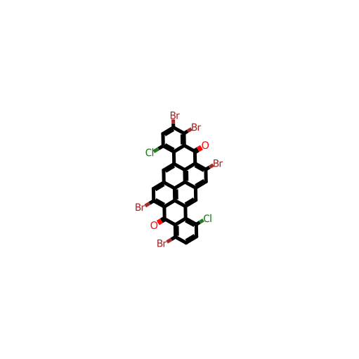 O=c1c2c(Br)ccc(Cl)c2c2cc3cc(Br)c4c(=O)c5c(Br)c(Br)cc(Cl)c5c5cc6cc(Br)c1c2c6c3c45